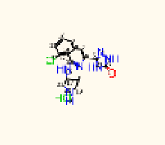 Cl.O=c1[nH]nc(-c2cc3cccc(Cl)c3c(N[C@H]3CCNC3)n2)[nH]1